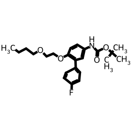 CCCCOCCOc1ccc(NC(=O)OC(C)(C)C)cc1-c1ccc(F)cc1